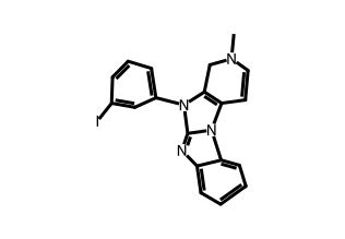 CN1C=Cc2c(n(-c3cccc(I)c3)c3nc4ccccc4n23)C1